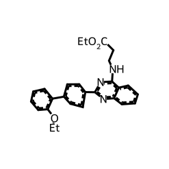 CCOC(=O)CCNc1nc(-c2ccc(-c3ccccc3OCC)cc2)nc2ccccc12